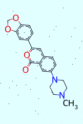 CN1CCN(c2ccc3cc(-c4ccc5c(c4)OCO5)oc(=O)c3c2)CC1